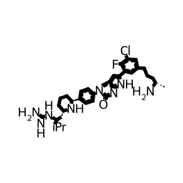 CC(C)C(C[C@@H]1CCC[C@@H](c2ccc(-n3cc4cc(-c5cc(CCC[C@H](C)N)cc(Cl)c5F)[nH]c4nc3=O)cc2)N1)NC(=N)N